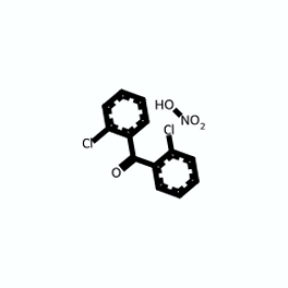 O=C(c1ccccc1Cl)c1ccccc1Cl.O=[N+]([O-])O